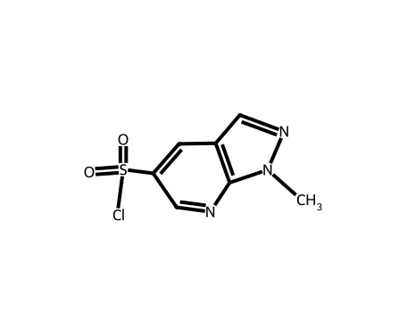 Cn1ncc2cc(S(=O)(=O)Cl)cnc21